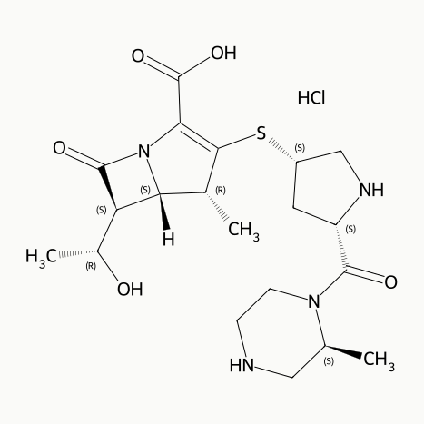 C[C@@H](O)[C@H]1C(=O)N2C(C(=O)O)=C(S[C@@H]3CN[C@H](C(=O)N4CCNC[C@@H]4C)C3)[C@H](C)[C@H]12.Cl